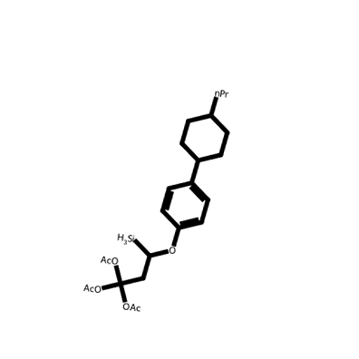 CCCC1CCC(c2ccc(OC([SiH3])CC(OC(C)=O)(OC(C)=O)OC(C)=O)cc2)CC1